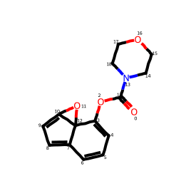 O=C(OC1=CC=CC2=CC=C3OC213)N1CCOCC1